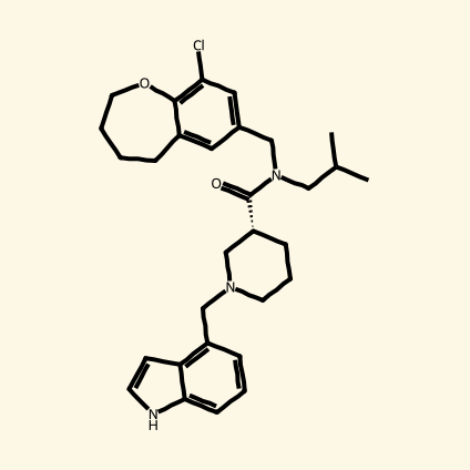 CC(C)CN(Cc1cc(Cl)c2c(c1)CCCCO2)C(=O)[C@@H]1CCCN(Cc2cccc3[nH]ccc23)C1